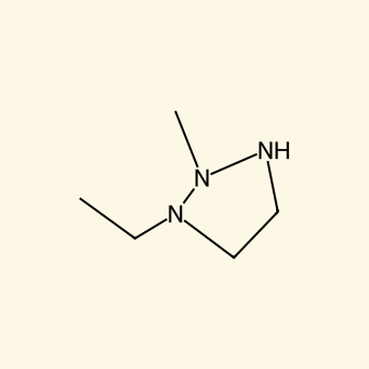 CCN1CCNN1C